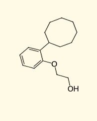 OCCOc1ccccc1C1CCCCCCC1